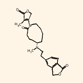 CC1=C(N2CCCC[C@H](N(C)CCc3ccc4c(c3)COC4=O)CCC2=O)COC1=O